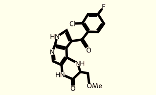 COCC1Nc2c(cnc3[nH]cc(C(=O)c4ccc(F)cc4Cl)c23)NC1=O